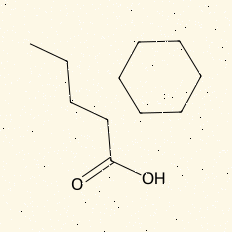 C1CCCCC1.CCCCC(=O)O